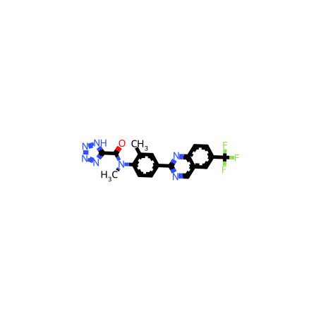 Cc1cc(-c2ncc3cc(C(F)(F)F)ccc3n2)ccc1N(C)C(=O)c1nnn[nH]1